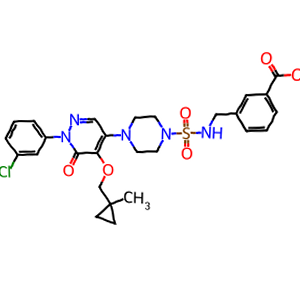 CC1(COc2c(N3CCN(S(=O)(=O)NCc4cccc(C(=O)O)c4)CC3)cnn(-c3cccc(Cl)c3)c2=O)CC1